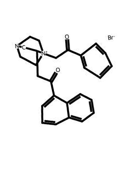 O=C(C[N+]12CCN(CC1)CC2CC(=O)c1cccc2ccccc12)c1ccccc1.[Br-]